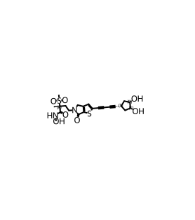 C[C@@](CCN1Cc2cc(C#CC#C[C@@H]3C[C@@H](O)[C@@H](O)C3)sc2C1=O)(C(=O)NO)S(C)(=O)=O